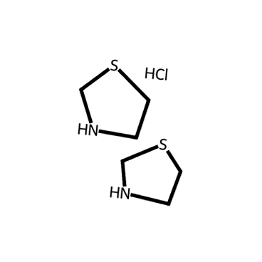 C1CSCN1.C1CSCN1.Cl